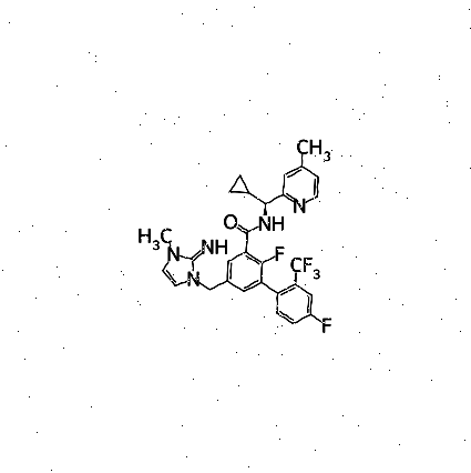 Cc1ccnc([C@@H](NC(=O)c2cc(Cn3ccn(C)c3=N)cc(-c3ccc(F)cc3C(F)(F)F)c2F)C2CC2)c1